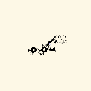 CCOC(=O)CN(C/C=C/C(=O)Nc1cc2c(Nc3ccc(F)c(Cl)c3)ncnc2cc1OCC1CC1)C(C)C(=O)OCC